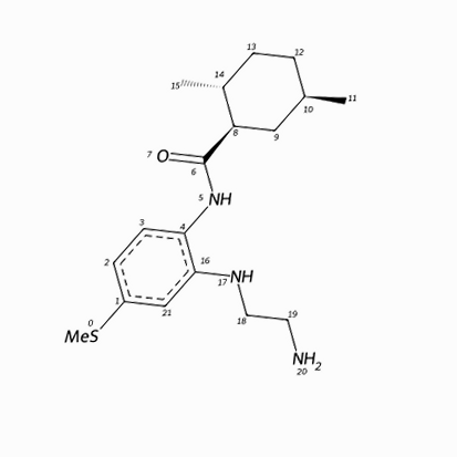 CSc1ccc(NC(=O)[C@@H]2C[C@H](C)CC[C@H]2C)c(NCCN)c1